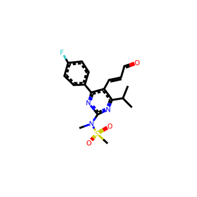 CC(C)c1nc(N(C)S(C)(=O)=O)nc(-c2ccc(F)cc2)c1C=CC=O